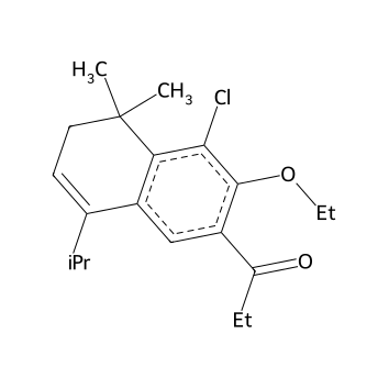 CCOc1c(C(=O)CC)cc2c(c1Cl)C(C)(C)CC=C2C(C)C